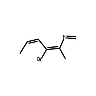 C=N/C(C)=C(Br)\C=C/C